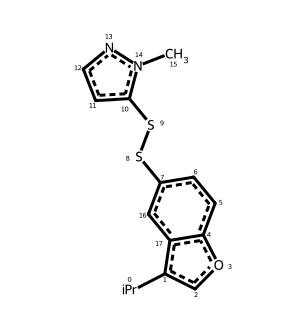 CC(C)c1coc2ccc(SSc3ccnn3C)cc12